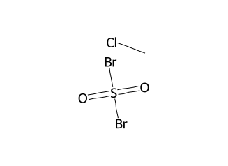 CCl.O=S(=O)(Br)Br